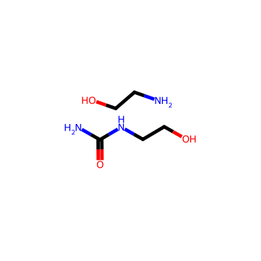 NC(=O)NCCO.NCCO